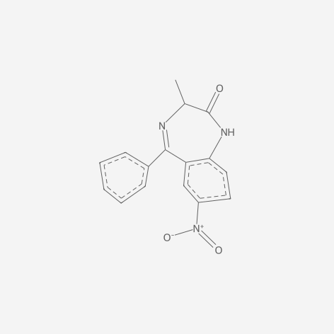 CC1N=C(c2ccccc2)c2cc([N+](=O)[O-])ccc2NC1=O